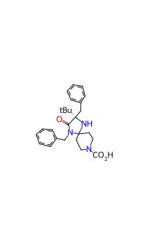 CC(C)(C)[C@]1(Cc2ccccc2)NC2(CCN(C(=O)O)CC2)N(Cc2ccccc2)C1=O